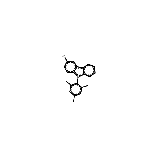 Cc1cc(C)c(-n2c3ccccc3c3cc(Br)ccc32)c(C)c1